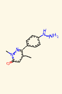 Cc1cc(=O)n(C)nc1-c1ccc(NN)cc1